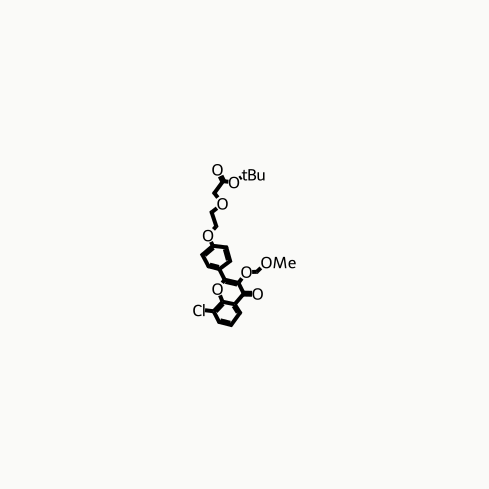 COCOc1c(-c2ccc(OCCOCC(=O)OC(C)(C)C)cc2)oc2c(Cl)cccc2c1=O